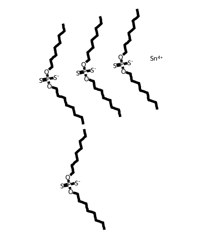 CCCCCCCCOP(=S)([S-])OCCCCCCCC.CCCCCCCCOP(=S)([S-])OCCCCCCCC.CCCCCCCCOP(=S)([S-])OCCCCCCCC.CCCCCCCCOP(=S)([S-])OCCCCCCCC.[Sn+4]